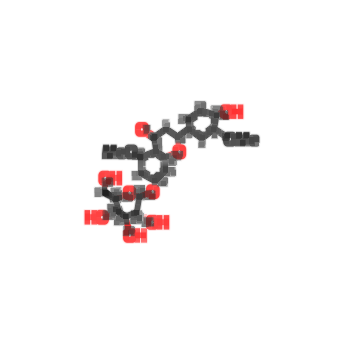 COc1cc(C2CC(=O)c3c(OC)cc(O[C@@H]4O[C@H](CO)[C@@H](O)[C@H](O)[C@H]4O)cc3O2)ccc1O